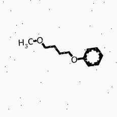 COCCCCOc1[c]cccc1